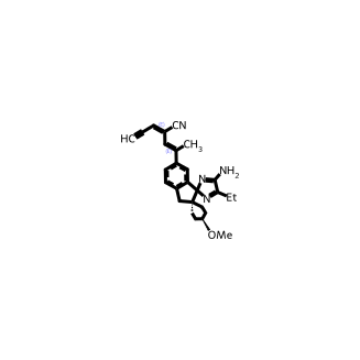 C#C/C=C(C#N)\C=C(/C)c1ccc2c(c1)C1(N=C(N)C(CC)=N1)[C@]1(CC[C@H](OC)CC1)C2